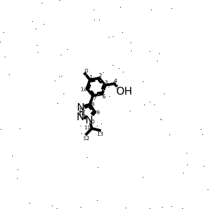 Cc1cc(CO)cc(-c2cn(C(C)C)nn2)c1